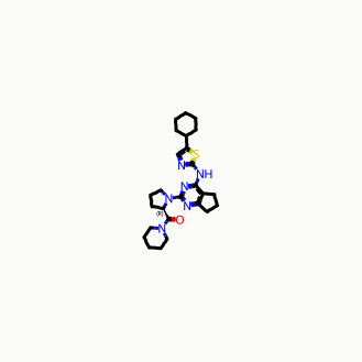 O=C([C@H]1CCCN1c1nc2c(c(Nc3ncc(C4CCCCC4)s3)n1)CCC2)N1CCCCC1